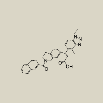 CCn1nnc2c(C)c([C@@H](CC(=O)O)c3ccc4c(c3)CN(C(=O)c3ccc5ccccc5c3)CC4)ccc21